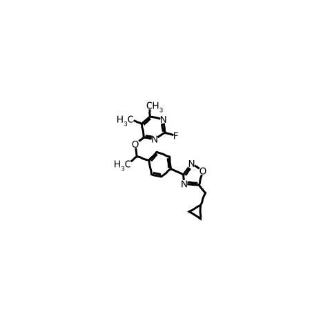 Cc1nc(F)nc(OC(C)c2ccc(-c3noc(CC4CC4)n3)cc2)c1C